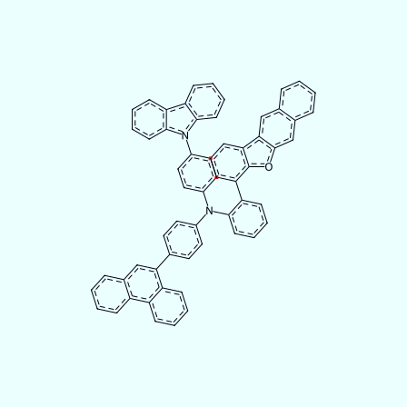 c1ccc(N(c2ccc(-c3cc4ccccc4c4ccccc34)cc2)c2ccc(-n3c4ccccc4c4ccccc43)cc2)c(-c2cccc3c2oc2cc4ccccc4cc23)c1